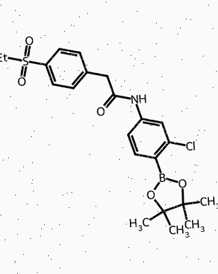 CCS(=O)(=O)c1ccc(CC(=O)Nc2ccc(B3OC(C)(C)C(C)(C)O3)c(Cl)c2)cc1